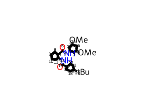 COc1cc(NC(=O)c2ccccc2NC(=O)c2ccc(C(C)(C)C)cc2)cc(OC)c1